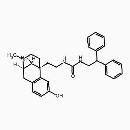 C[C@H]1[C@H]2Cc3ccc(O)cc3[C@@]1(CCNC(=O)NCC(c1ccccc1)c1ccccc1)CCN2C